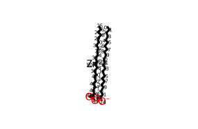 CCCCCCCCCCCCCCCCCCCCCCC(=O)[O-].CCCCCCCCCCCCCCCCCCCCCCC(=O)[O-].[Zn+2]